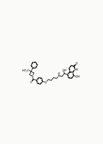 O=C(c1ccc(OCCCCNCC(O)c2ccc(O)c3[nH]c(=O)ccc23)cc1)N1CC(C(=O)O)(c2ccccc2)C1